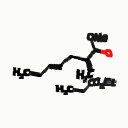 C=CC(=O)OCC.C=CC=CCC(=C)C(=O)OC